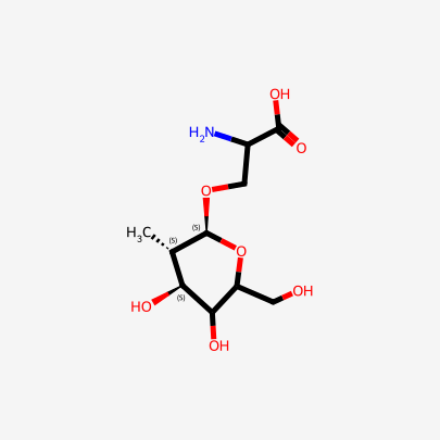 C[C@@H]1[C@@H](OCC(N)C(=O)O)OC(CO)C(O)[C@H]1O